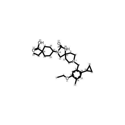 CCOc1cc(CN2CCC3(CC2)CN(C2CCC(CC)(C(=O)O)CC2)C(=O)N3)c(C2CC2)cc1C